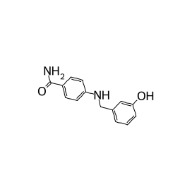 NC(=O)c1ccc(NCc2cccc(O)c2)cc1